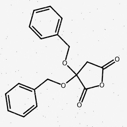 O=C1CC(OCc2ccccc2)(OCc2ccccc2)C(=O)O1